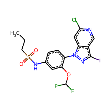 CCCS(=O)(=O)Nc1ccc(-n2nc(I)c3cnc(Cl)cc32)c(OC(F)F)c1